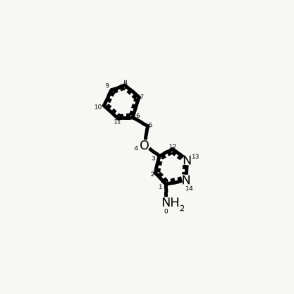 Nc1cc(OCc2ccccc2)cnn1